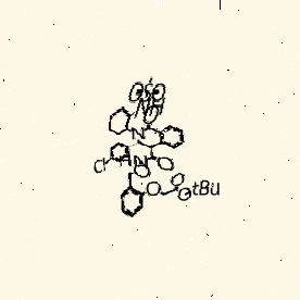 CC(C)(C)OC(=O)COc1ccccc1CONC(=O)[C@@H]1c2ccccc2C(=O)N([C@H]2CCCC[C@@H]2NS(C)(=O)=O)[C@H]1c1ccc(Cl)cc1